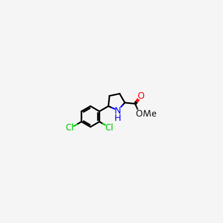 COC(=O)C1CCC(c2ccc(Cl)cc2Cl)N1